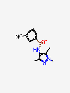 Cc1nn(C)c(C)c1N[S+]([O-])c1cccc(C#N)c1